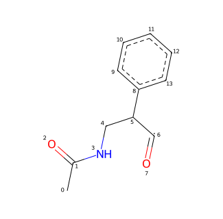 CC(=O)NCC([C]=O)c1ccccc1